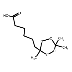 CC1(C)OOC(C)(CCCCCC(=O)O)OO1